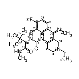 CCN1CCC(NC(=O)N[C@H](C(=O)NC)C(C)(C)C)=C(/C(=N\C)c2ccc(F)c(F)c2)C1